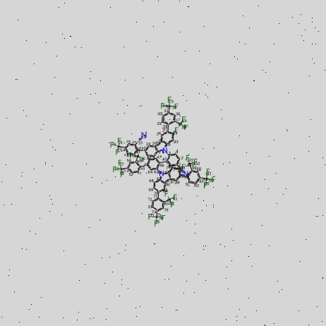 N#Cc1ccc(-n2c3ccc(-c4ccc(C(F)(F)F)cc4C#N)cc3c3cc(-c4ccc(C(F)(F)F)cc4C(F)(F)F)ccc32)c(-c2ccc(-c3ccc(C(F)(F)F)cc3C(F)(F)F)cc2-n2c3ccc(-c4ccc(C(F)(F)F)cc4C(F)(F)F)cc3c3cc(-c4ccc(C(F)(F)F)cc4C(F)(F)F)ccc32)c1